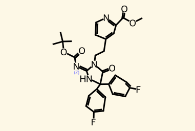 COC(=O)c1cc(CCN2C(=O)C(c3ccc(F)cc3)(c3ccc(F)cc3)N/C2=N/C(=O)OC(C)(C)C)ccn1